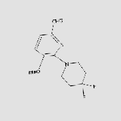 COc1ccc(C=O)nc1N1CCC(F)(F)CC1